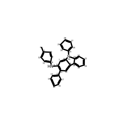 Cc1ccc(Nc2cc3c(cc2-c2ccccc2)c2ccccc2n3-c2ccccc2)cc1